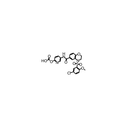 COc1ccc(Cl)cc1S(=O)(=O)N1CCOc2ccc(C(=O)Nc3ccc(OC(=O)O)nc3)cc21